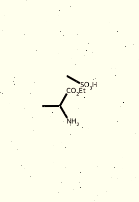 CCOC(=O)C(C)N.CS(=O)(=O)O